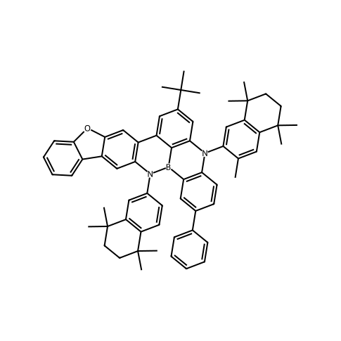 Cc1cc2c(cc1N1c3ccc(-c4ccccc4)cc3B3c4c(cc(C(C)(C)C)cc41)-c1cc4oc5ccccc5c4cc1N3c1ccc3c(c1)C(C)(C)CCC3(C)C)C(C)(C)CCC2(C)C